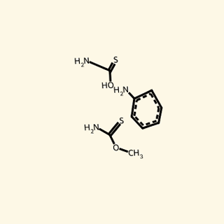 COC(N)=S.NC(O)=S.Nc1ccccc1